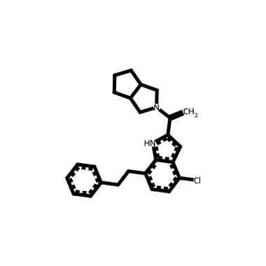 C=C(c1cc2c(Cl)ccc(CCc3ccccc3)c2[nH]1)N1CC2CCCC2C1